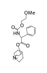 COCCOC(=O)NC(C(=O)OC1CN2CCC1CC2)c1ccccc1